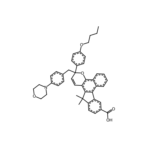 CCCCOc1ccc(C2(Cc3ccc(N4CCOCC4)cc3)C=Cc3c4c(c5ccccc5c3O2)-c2cc(C(=O)O)ccc2C4(C)C)cc1